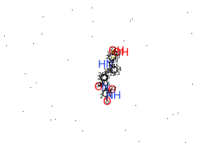 O=C1CCC(N2Cc3cc(C[C@H]4CCCC[C@@H]4NC4CCS(O)(O)CC4)ccc3C2=O)C(=O)N1